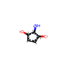 N=c1c(=O)ccc1=O